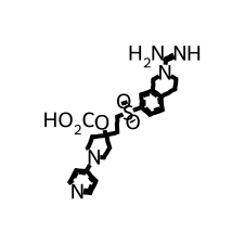 N=C(N)N1CCc2ccc(S(=O)(=O)CCC3(OC(=O)O)CCN(c4ccncc4)CC3)cc2C1